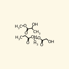 CCC(=O)O.COC(=O)C(C)O.COC(=O)CO